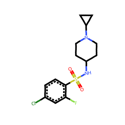 O=S(=O)(NC1CCN(C2CC2)CC1)c1ccc(Cl)cc1F